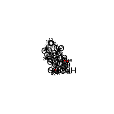 CCOCCN(C(=O)OCc1ccccc1)C1O[C@@H](COC(C)=O)[C@@H](OC(C)=O)[C@H](OC(C)=O)[C@@H]1O[C@H]1O[C@H](COC(C)=O)[C@@H](OC(C)=O)[C@H](OC(=O)NC)[C@@H]1OC(C)=O